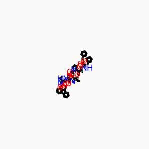 CC[C@H](C)[C@@H]([C@@H](CC(=O)N1CCC[C@H]1[C@H](OC)[C@@H](C)C(=O)N[C@@H](Cc1ccccc1)C(=O)OCc1ccccc1)OC)N(C)C(=O)[C@@H](NC(=O)[C@H](C(C)C)N(C)C(=O)OCC1c2ccccc2-c2ccccc21)C(C)C